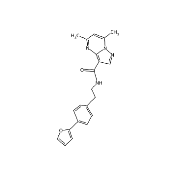 Cc1cc(C)n2ncc(C(=O)NCCc3ccc(-c4ccco4)cc3)c2n1